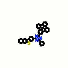 c1ccc(-c2nc(-c3ccc4c(c3)-c3ccccc3C43c4ccccc4-c4ccccc43)nc(-c3ccc4c(c3)sc3cc5c(cc34)CCCC5)n2)cc1